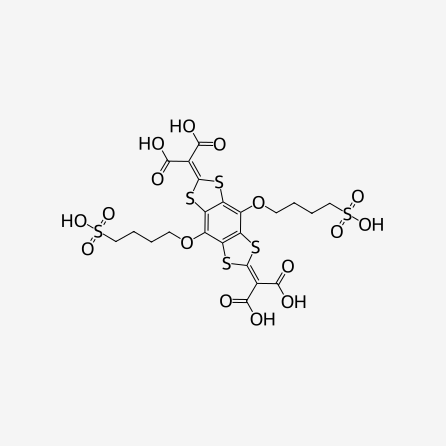 O=C(O)C(C(=O)O)=C1Sc2c(OCCCCS(=O)(=O)O)c3c(c(OCCCCS(=O)(=O)O)c2S1)SC(=C(C(=O)O)C(=O)O)S3